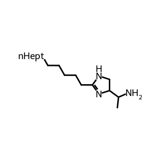 CCCCCCCCCCCCC1=NC(C(C)N)CN1